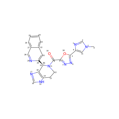 Cn1cnc(-c2nnc(C(=O)N3CCc4[nH]cnc4[C@H]3c3cc4ccccc4cn3)o2)c1